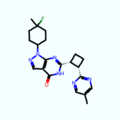 Cc1cnc([C@H]2CC[C@H]2c2nc3c(cnn3C3CCC(C)(F)CC3)c(=O)[nH]2)nc1